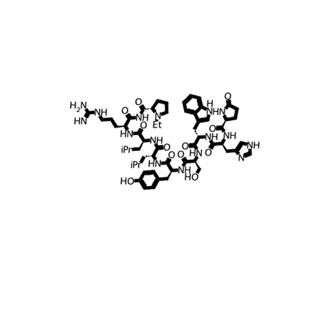 CCN1CCC[C@H]1C(=O)NC(=O)[C@H](CCCNC(=N)N)NC(=O)[C@H](CC(C)C)NC(=O)[C@@H](CC(C)C)NC(=O)[C@H](Cc1ccc(O)cc1)NC(=O)[C@H](CO)NC(=O)[C@H](Cc1c[nH]c2ccccc12)NC(=O)[C@H](Cc1c[nH]cn1)NC(=O)[C@@H]1CCC(=O)N1